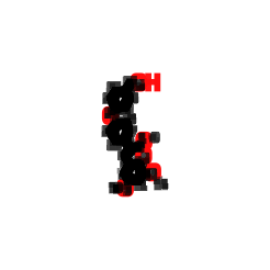 COC(=O)C(=Cc1cc(OC)cc(OC)c1)c1ccc(Oc2ccc(CO)cc2)cc1